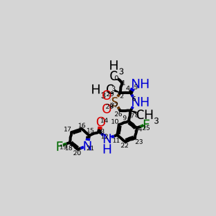 CC[C@]1(C)C(=N)N[C@](C)(c2cc(NC(=O)c3ccc(F)cn3)ccc2F)CS1(=O)=O